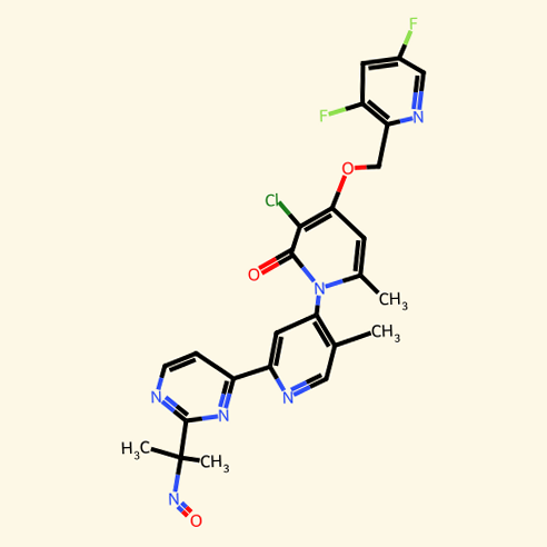 Cc1cnc(-c2ccnc(C(C)(C)N=O)n2)cc1-n1c(C)cc(OCc2ncc(F)cc2F)c(Cl)c1=O